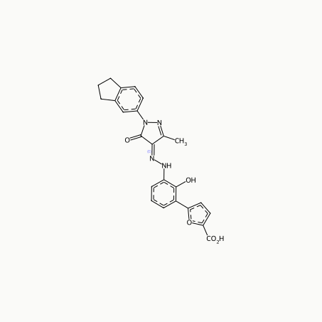 CC1=NN(c2ccc3c(c2)CCC3)C(=O)/C1=N/Nc1cccc(-c2ccc(C(=O)O)o2)c1O